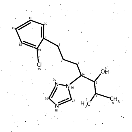 CC(C)C(O)C(CCCc1ccccc1Cl)n1cncn1